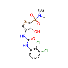 CN(C(C)(C)C)S(=O)(=O)c1scc(NC(=O)Nc2cccc(Cl)c2Cl)c1O